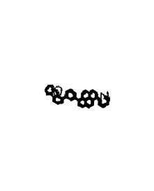 c1ccc(-c2ccc3ccc4c(-c5cccc(-c6cccc7c6oc6ccccc67)c5)ccc5ccc2c3c54)nc1